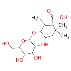 CC1=C(C(=O)O)C(C)(C)CCC1OC1OC(CO)C(O)C(O)C1O